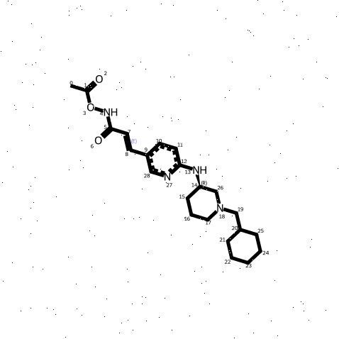 CC(=O)ONC(=O)/C=C/c1ccc(N[C@@H]2CCCN(CC3CCCCC3)C2)nc1